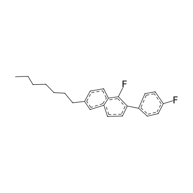 CCCCCCCc1ccc2c(F)c(-c3ccc(F)cc3)ccc2c1